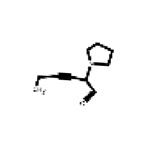 [CH2]CC#CC(C=O)N1CCCC1